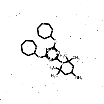 CC1(C)CC(N)CC(C)(C)N1c1nc(SC2CCCCCC2)nc(SC2CCCCCC2)n1